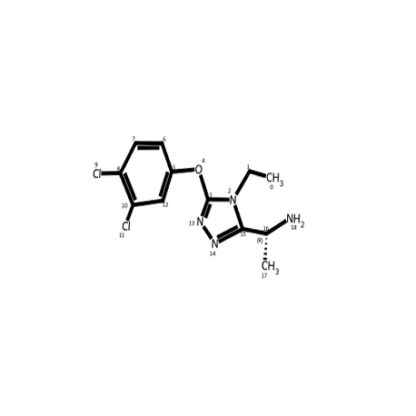 CCn1c(Oc2ccc(Cl)c(Cl)c2)nnc1[C@@H](C)N